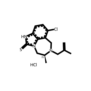 C=C(C)CN1Cc2c(Cl)ccc3[nH]c(=S)n(c23)C[C@@H]1C.Cl